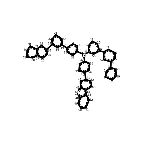 c1ccc(-c2cccc(-c3cccc(N(c4ccc(-c5cccc(-c6ccc7ccccc7c6)c5)cc4)c4ccc(-c5ccc6c(c5)sc5ccccc56)cc4)c3)c2)cc1